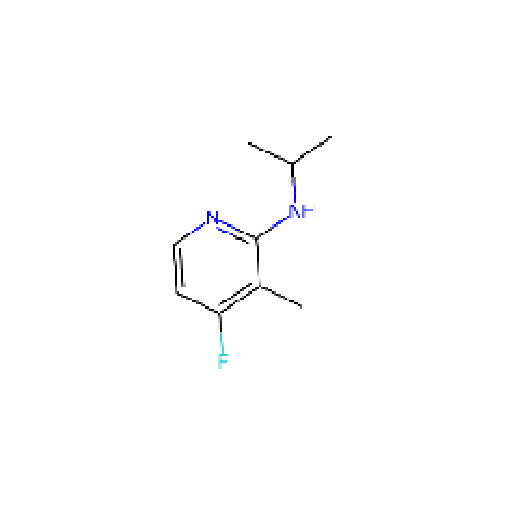 Cc1c(F)ccnc1NC(C)C